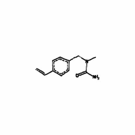 C=Cc1ccc(CN(C)C(N)=O)cc1